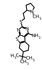 CN1CCCC1CCSc1nc(N)c2c3c(sc2n1)CC(C(C)(C)C)CC3